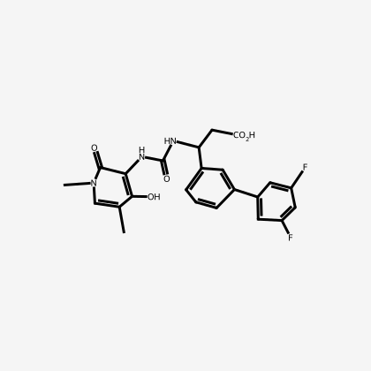 Cc1cn(C)c(=O)c(NC(=O)NC(CC(=O)O)c2cccc(-c3cc(F)cc(F)c3)c2)c1O